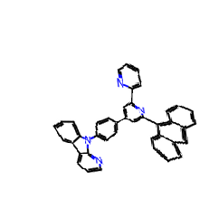 c1ccc(-c2cc(-c3ccc(-n4c5ccccc5c5cccnc54)cc3)cc(-c3c4ccccc4cc4ccccc34)n2)nc1